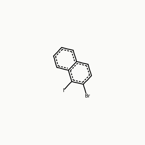 Brc1ccc2ccccc2c1I